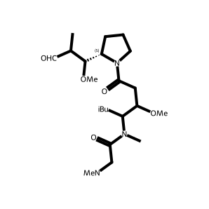 CCC(C)C(C(CC(=O)N1CCC[C@H]1C(OC)C(C)C=O)OC)N(C)C(=O)CNC